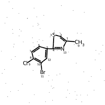 Cc1csc(-c2ccc(Cl)c(Br)c2)n1